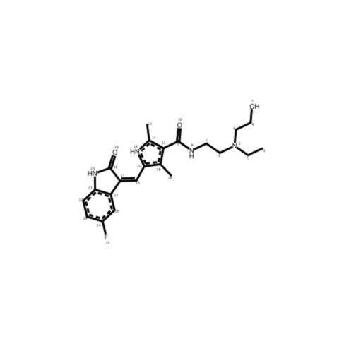 CCN(CCO)CCNC(=O)c1c(C)[nH]c(/C=C2\C(=O)Nc3ccc(F)cc32)c1C